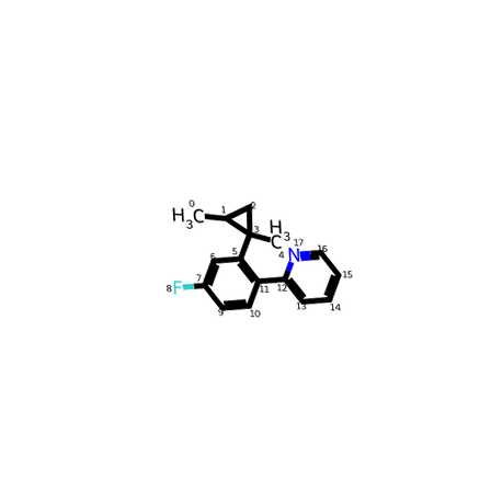 CC1CC1(C)c1cc(F)ccc1-c1ccccn1